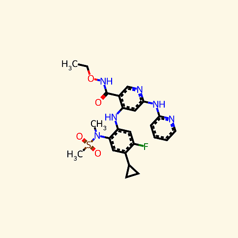 CCONC(=O)c1cnc(Nc2ccccn2)cc1Nc1cc(F)c(C2CC2)cc1N(C)S(C)(=O)=O